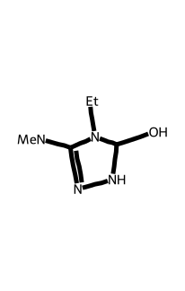 CCN1C(NC)=NNC1O